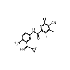 Cc1c(C(=O)Nc2ccc(N)c(C(=N)C3CC3)c2)nc(Cl)c(C#N)c1C